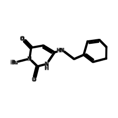 CCC(C)n1c(=O)cc(NCC2=CCCC=C2)[nH]c1=O